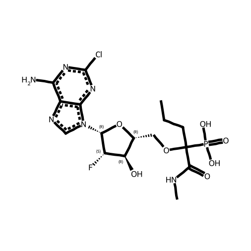 CCCC(OC[C@H]1O[C@@H](n2cnc3c(N)nc(Cl)nc32)[C@@H](F)[C@@H]1O)(C(=O)NC)P(=O)(O)O